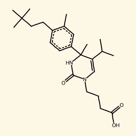 Cc1cc(C2(C)NC(=O)N(CCCC(=O)O)C=C2C(C)C)ccc1CCC(C)(C)C